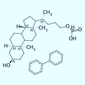 C[C@H](CCCO[PH](=O)O)C1CC[C@H]2C3CC[C@@H]4C[C@H](O)CC[C@]4(C)C3CC[C@]12C.c1ccc(-c2ccccc2)cc1